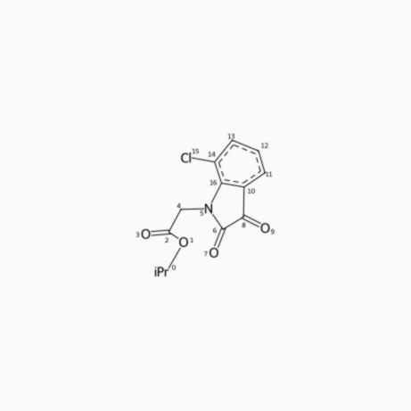 CC(C)OC(=O)CN1C(=O)C(=O)c2cccc(Cl)c21